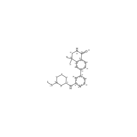 CSN1CCCC(Nc2nccc(-c3ccc4c(c3)C(C)(C)CNC4=O)n2)C1